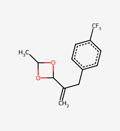 C=C(Cc1ccc(C(F)(F)F)cc1)C1OC(C)O1